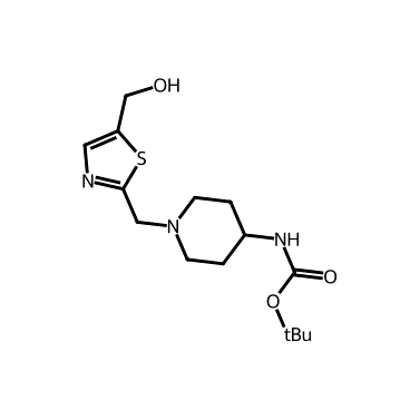 CC(C)(C)OC(=O)NC1CCN(Cc2ncc(CO)s2)CC1